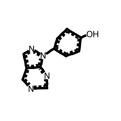 Oc1ccc(-n2ncc3cncnc32)cc1